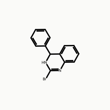 BrC1=Nc2ccccc2C(c2ccccc2)N1